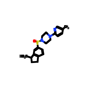 O=C(O)C1CCc2ccc([S+]([O-])N3CCN(c4ccc(C(F)(F)F)cn4)CC3)cc21